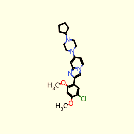 COc1cc(OC)c(-c2cn3ccc(N4CCN(C5CCCC5)CC4)cc3n2)cc1Cl